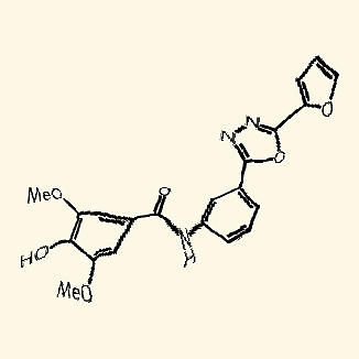 COc1cc(C(=O)Nc2cccc(-c3nnc(-c4ccco4)o3)c2)cc(OC)c1O